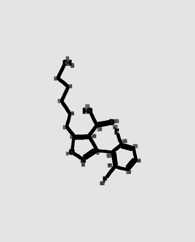 CCCCCCc1onc(-c2c(F)cccc2F)c1C(=O)O